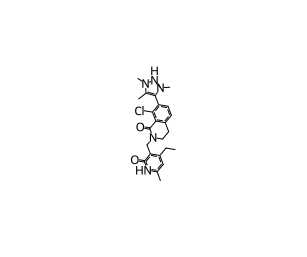 CCc1cc(C)[nH]c(=O)c1CN1CCc2ccc(C3=C(C)N(C)NN3C)c(Cl)c2C1=O